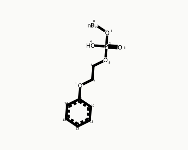 CCCCOP(=O)(O)OCCOc1ccccc1